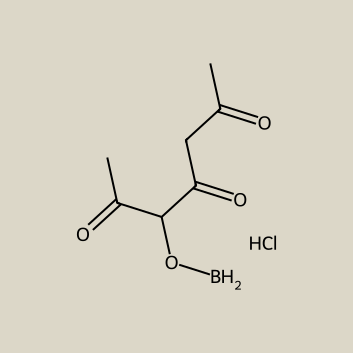 BOC(C(C)=O)C(=O)CC(C)=O.Cl